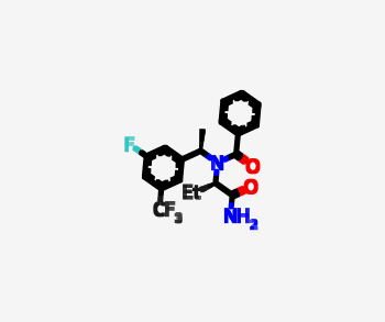 CC[C@H](C(N)=O)N(C(=O)c1ccccc1)[C@H](C)c1cc(F)cc(C(F)(F)F)c1